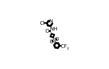 O=C(Nc1cncc(Cl)c1)[C@H]1C[C@@H](S(=O)(=O)c2cccc(C(F)(F)F)c2)C1